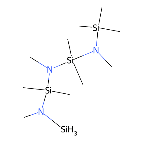 CN([SiH3])[Si](C)(C)N(C)[Si](C)(C)N(C)[Si](C)(C)C